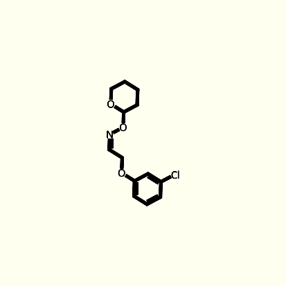 Clc1cccc(OC/C=N\OC2CCCCO2)c1